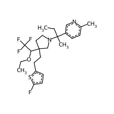 CCOC(C(F)(F)F)C1(CCc2ccc(F)s2)CCN(C(C)(CC)c2ccc(C)nc2)C1